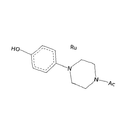 CC(=O)N1CCN(c2ccc(O)cc2)CC1.[Ru]